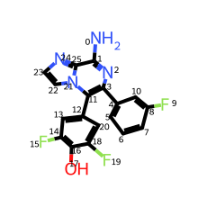 Nc1nc(-c2cccc(F)c2)c(-c2cc(F)c(O)c(F)c2)n2ccnc12